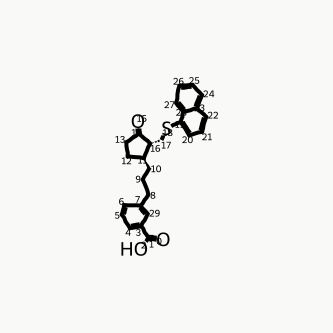 O=C(O)c1cccc(CCC[C@H]2CCC(=O)[C@@H]2CSc2cccc3ccccc23)c1